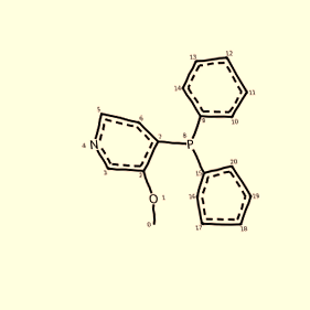 COc1cnccc1P(c1ccccc1)c1ccccc1